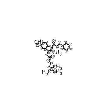 COc1ccc2c(c1)c(CC(=O)OCCS(C)(C)C)c(C)n2C(=O)/C=C/c1ccccc1